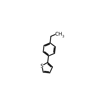 CCc1ccc(-c2cccs2)cc1